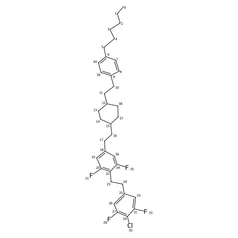 CCCCCCc1ccc(CCC2CCC(CCc3cc(F)c(CCc4cc(F)c(Cl)c(F)c4)c(F)c3)CC2)cc1